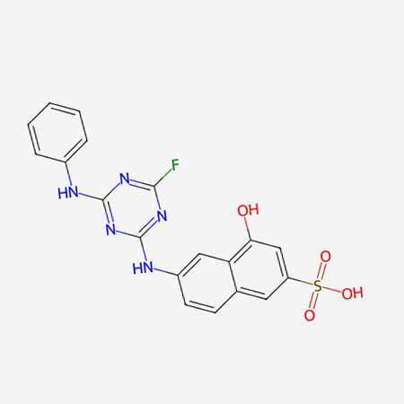 O=S(=O)(O)c1cc(O)c2cc(Nc3nc(F)nc(Nc4ccccc4)n3)ccc2c1